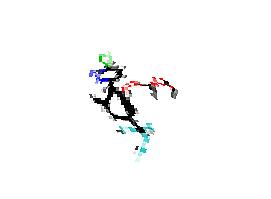 COCOc1cc(C(F)(F)F)cc(C)c1-c1ccc(Cl)nn1